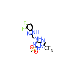 CS(=O)(=O)c1nc(NCc2nc3c(F)c(F)ccc3[nH]2)c2ncc(C(F)(F)F)n2n1